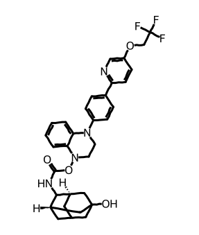 O=C(NC1[C@@H]2CC3C[C@H]1CC(O)(C3)C2)ON1CCN(c2ccc(-c3ccc(OCC(F)(F)F)cn3)cc2)c2ccccc21